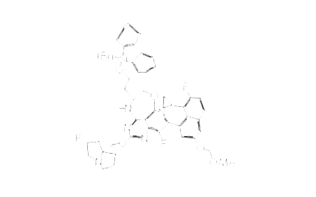 COCOc1cc(-c2nc3c4c(nc(OC[C@@]56CCCN5C[C@H](F)C6)nc4c2F)N(C)[C@@H](CCO[Si](c2ccccc2)(c2ccccc2)C(C)(C)C)CO3)c2c(C3CC3)c(F)ccc2c1